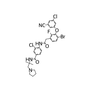 CC(C)(CN1CCCC1)NC(=O)c1ccc(NC(=O)Cc2ccc(Br)c(Oc3cc(Cl)cc(C#N)c3)c2F)c(Cl)c1